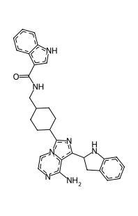 Nc1nccn2c(C3CCC(CNC(=O)c4c[nH]c5ccccc45)CC3)nc(C3Cc4ccccc4N3)c12